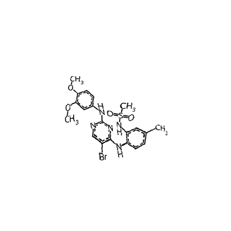 COc1ccc(Nc2ncc(Br)c(Nc3ccc(C)cc3NS(C)(=O)=O)n2)cc1OC